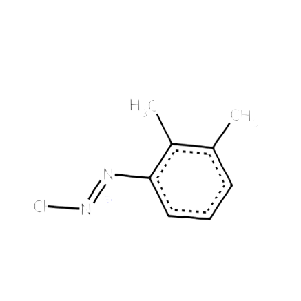 Cc1cccc(/N=N/Cl)c1C